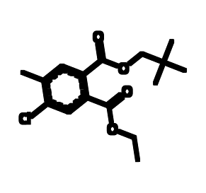 CCOC(=O)c1cc(Cl)c(C)cc1C(=O)OCC(C)(C)C